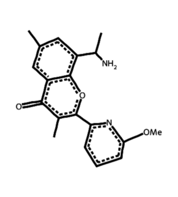 COc1cccc(-c2oc3c(C(C)N)cc(C)cc3c(=O)c2C)n1